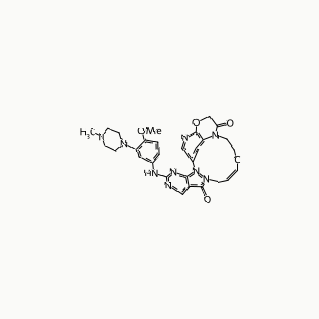 COc1ccc(Nc2ncc3c(=O)n4n(c3n2)-c2cnc3c(c2)N(CCC/C=C\C4)C(=O)CO3)cc1N1CCN(C)CC1